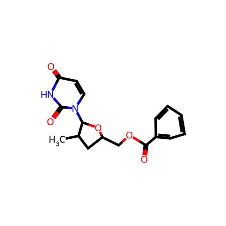 CC1CC(COC(=O)c2ccccc2)OC1n1ccc(=O)[nH]c1=O